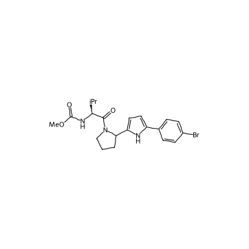 COC(=O)N[C@H](C(=O)N1CCCC1c1ccc(-c2ccc(Br)cc2)[nH]1)C(C)C